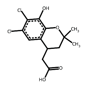 CC1(C)CC(CC(=O)O)c2cc(Cl)c(Cl)c(O)c2O1